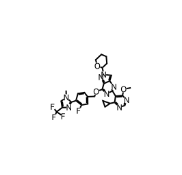 COc1ncnc(C2CC2)c1-c1nc(OCc2ccc(-c3nc(C(F)(F)F)cn3C)c(F)c2)c2nn(C3CCCCO3)cc2n1